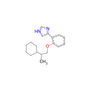 CC(COc1ccccc1-c1c[nH]cn1)C1CCCCC1